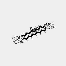 CCCCCCCCCCCCCCCCCCCCC(=O)[O-].CCCCCCCCCCCCCCCCCCCCC(=O)[O-].[Ba+2]